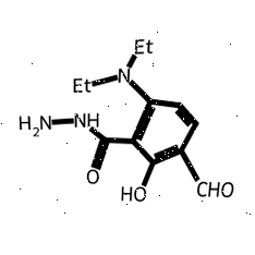 CCN(CC)c1ccc(C=O)c(O)c1C(=O)NN